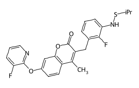 Cc1c(Cc2cccc(NSC(C)C)c2F)c(=O)oc2cc(Oc3ncccc3F)ccc12